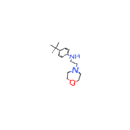 CC(C)(C)c1ccc(NCCN2CCOCC2)cc1